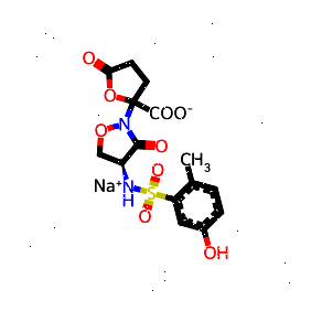 Cc1ccc(O)cc1S(=O)(=O)N[C@H]1CON(C2(C(=O)[O-])CCC(=O)O2)C1=O.[Na+]